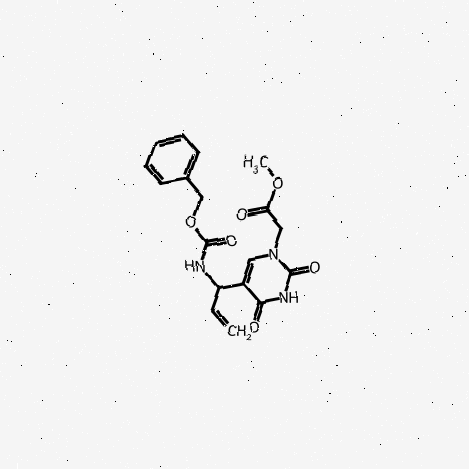 C=CC(NC(=O)OCc1ccccc1)c1cn(CC(=O)OC)c(=O)[nH]c1=O